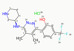 Cc1c(N[C@@H]2CCCNC2)nnc(-c2ccc(C(F)(F)F)cc2O)c1C.Cl